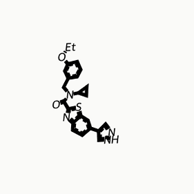 CCOc1cccc(CN(C(=O)c2nc3ccc(-c4cn[nH]c4)cc3s2)C2CC2)c1